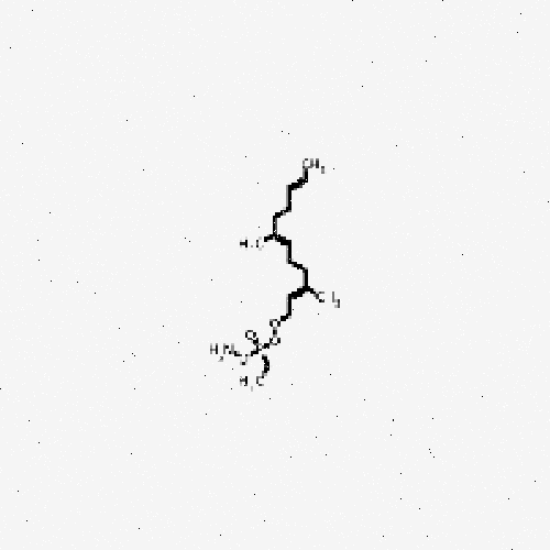 CC=CCCC(C)=CCCC(C)=CCOOP(=O)(CC)ON